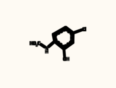 O=C(O)Nc1ccc(Cl)cc1O